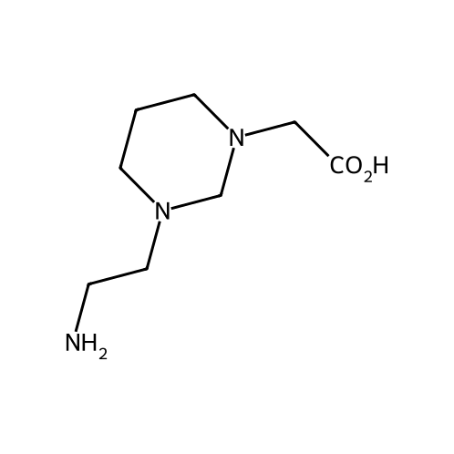 NCCN1CCCN(CC(=O)O)C1